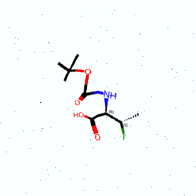 C[C@H](F)[C@H](NC(=O)OC(C)(C)C)C(=O)O